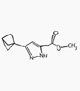 COC(=O)c1cc(C23CC(C2)C3)n[nH]1